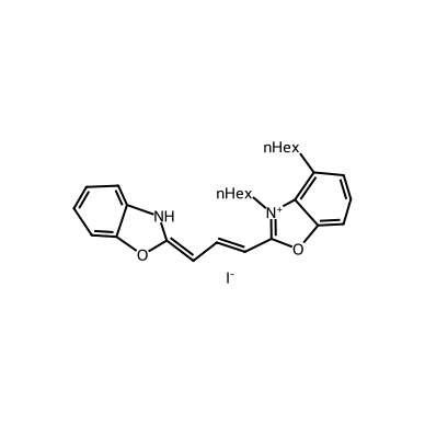 CCCCCCc1cccc2oc(C=CC=C3Nc4ccccc4O3)[n+](CCCCCC)c12.[I-]